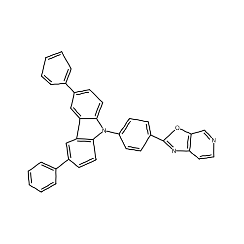 c1ccc(-c2ccc3c(c2)c2cc(-c4ccccc4)ccc2n3-c2ccc(-c3nc4ccncc4o3)cc2)cc1